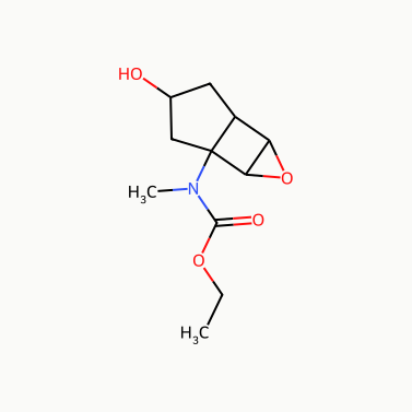 CCOC(=O)N(C)C12CC(O)CC1C1OC12